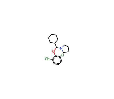 Clc1cccc(Cl)c1O[C@@H](C1CCCCC1)N1CCCC1